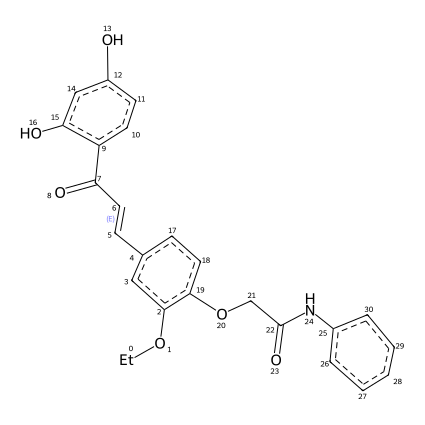 CCOc1cc(/C=C/C(=O)c2ccc(O)cc2O)ccc1OCC(=O)Nc1ccccc1